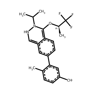 [CH]c1ccc(C)c(-c2ccc3c(c2)=CNN(C(C)C)C=3O[C@H](C)C(F)(F)F)c1